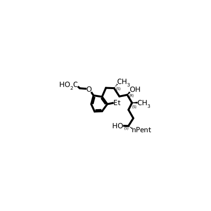 CCCCC[C@H](O)CC[C@H](C)[C@H](O)C[C@@H](C)Cc1c(CC)cccc1OCC(=O)O